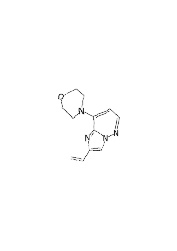 C=Cc1cn2nccc(N3CCOCC3)c2n1